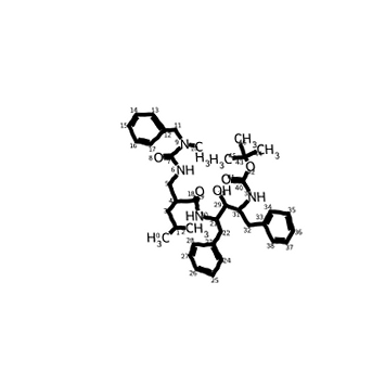 CC(C)CC(CNC(=O)N(C)Cc1ccccc1)C(=O)NC(Cc1ccccc1)C(O)C(Cc1ccccc1)NC(=O)OC(C)(C)C